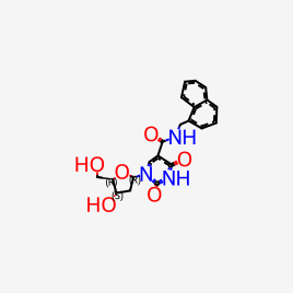 O=C(NCc1cccc2ccccc12)c1cn([C@H]2C[C@H](O)[C@@H](CO)O2)c(=O)[nH]c1=O